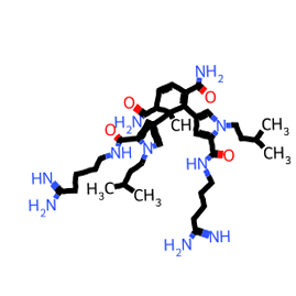 CC(C)CCn1cc(C2=C(C(N)=O)C=CC(C(N)=O)C2(C)c2cc(C(=O)NCCCCC(=N)N)n(CCC(C)C)c2)cc1C(=O)NCCCCC(=N)N